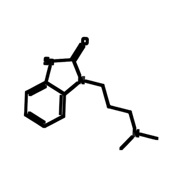 CN(C)CCCn1c(=O)[se]c2ccccc21